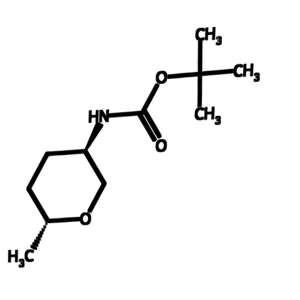 C[C@@H]1CC[C@@H](NC(=O)OC(C)(C)C)CO1